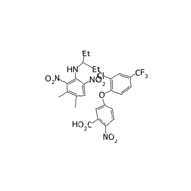 CCC(CC)Nc1c([N+](=O)[O-])cc(C)c(C)c1[N+](=O)[O-].O=C(O)c1cc(Oc2ccc(C(F)(F)F)cc2Cl)ccc1[N+](=O)[O-]